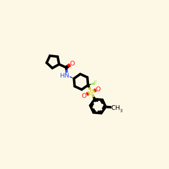 Cc1cccc(S(=O)(=O)[C@]2(F)CC[C@H](NC(=O)C3CCCC3)CC2)c1